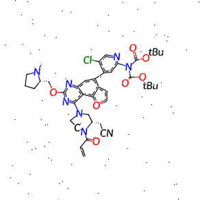 C=CC(=O)N1CCN(c2nc(OC[C@@H]3CCCN3C)nc3cc(-c4cc(N(C(=O)OC(C)(C)C)C(=O)OC(C)(C)C)ncc4Cl)c4ccoc4c23)C[C@@H]1CC#N